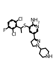 CC(Sc1cc(C2=NN(C3CCNCC3)CC2)cnc1N)c1c(Cl)ccc(F)c1Cl